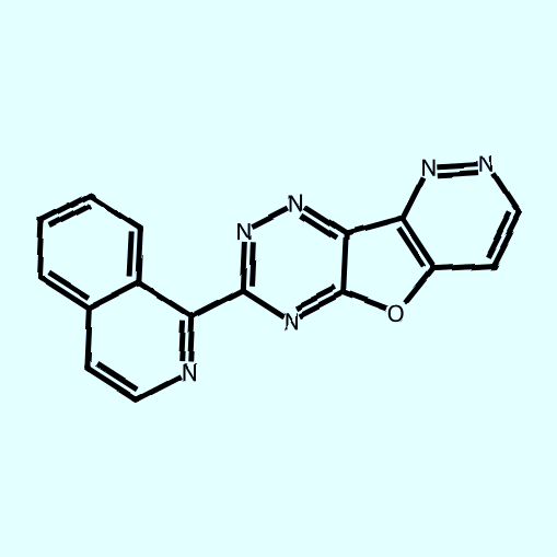 c1ccc2c(-c3nnc4c(n3)oc3ccnnc34)nccc2c1